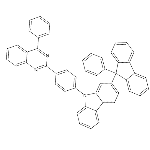 c1ccc(-c2nc(-c3ccc(-n4c5ccccc5c5ccc(C6(c7ccccc7)c7ccccc7-c7ccccc76)cc54)cc3)nc3ccccc23)cc1